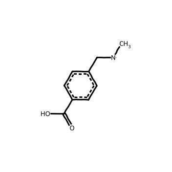 C[N]Cc1ccc(C(=O)O)cc1